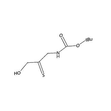 CC(C)(C)OC(=O)NCC(=S)CO